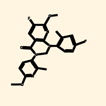 COc1ccc(N2CN(c3ccc(F)cc3C)c3nc(OC)c(F)cc3C2=O)c(C)n1